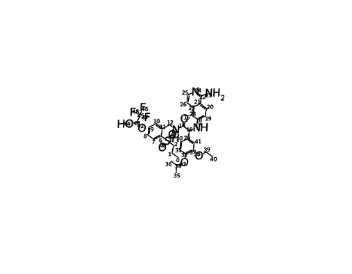 CCCS(=O)(=O)c1ccccc1CNC(=O)C(Nc1ccc2c(N)nccc2c1)c1ccc(OC(C)C)c(OCC)c1.O=C(O)C(F)(F)F